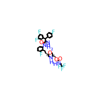 N[C@H](C(=O)Nc1cccc(F)c1CC[C@@H]1CN[C@H](COC(=O)NCC(F)(F)F)CO1)C(c1ccc(F)cc1)c1cc(F)cc(F)c1